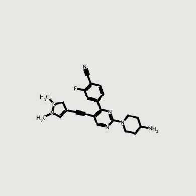 CN1C=C(C#Cc2cnc(N3CCC(N)CC3)nc2-c2ccc(C#N)c(F)c2)CN1C